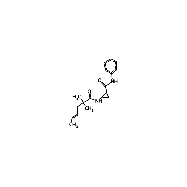 CC=CCC(C)(C)C(=O)NC1CC1C(=O)Nc1ccccc1